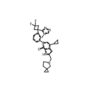 Cn1cnnc1C1(c2cccc(-n3cc(C4CC4)c4cc(CN5CCC6(CC6)C5)[nH]c4c3=O)c2)CC(F)(F)C1